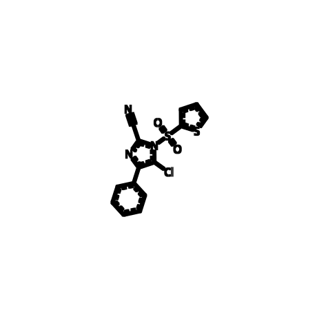 N#Cc1nc(-c2ccccc2)c(Cl)n1S(=O)(=O)c1cccs1